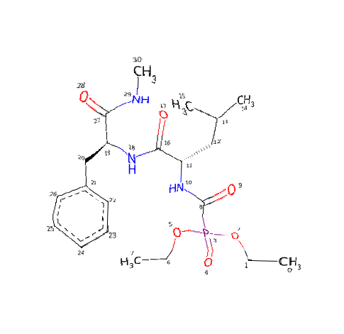 CCOP(=O)(OCC)C(=O)N[C@@H](CC(C)C)C(=O)N[C@@H](Cc1ccccc1)C(=O)NC